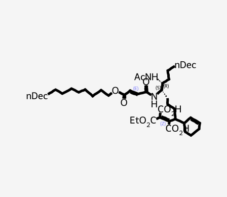 CCCCCCCCCCCCCCCCCCOC(=O)/C=C/C(=O)N[C@@H](CCCC(/C(C(=O)O)=C(\C(=O)O)C(=O)OCC)C1C=CCCC1)[C@@H](CCCCCCCCCCCC)NC(C)=O